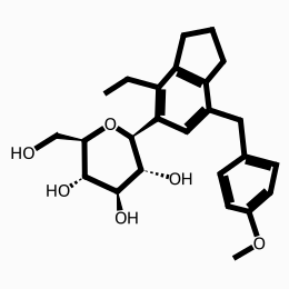 CCc1c([C@@H]2O[C@H](CO)[C@@H](O)[C@H](O)[C@H]2O)cc(Cc2ccc(OC)cc2)c2c1CCC2